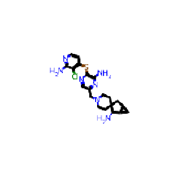 Nc1nc(CN2CCC3(CC2)CC2CC2[C@H]3N)cnc1Sc1ccnc(N)c1Cl